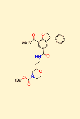 CNC(=O)c1cc(C(=O)NCC[C@@H]2CN(C(=O)OC(C)(C)C)CCO2)cc2c1OC[C@@H]2c1ccccc1